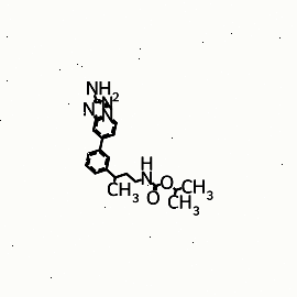 CC(C)OC(=O)NCCC(C)c1cccc(-c2ccn3nc(N)nc3c2)c1